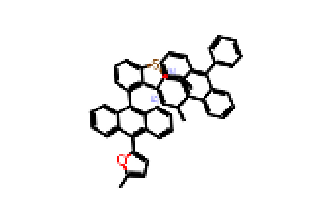 C/C=c1/sc2cccc(-c3c4ccccc4c(-c4ccc(C)o4)c4ccccc34)c2/c1=C/C(C)c1c2ccccc2c(-c2ccccc2)c2ccccc12